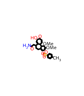 COC1=C(OS(=O)(=O)c2ccc(C)cc2)C=C2CCC(CC(N)=O)C3=CC(O)C(=O)C=CC3C2C1OC